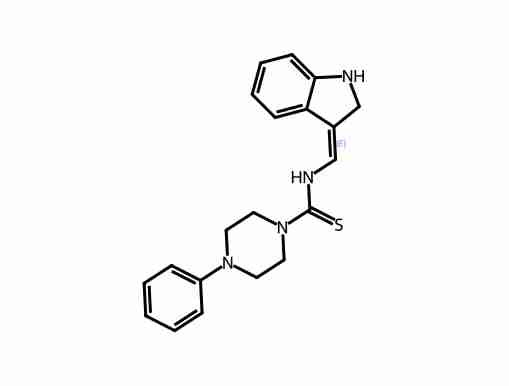 S=C(N/C=C1/CNc2ccccc21)N1CCN(c2ccccc2)CC1